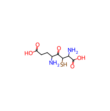 NC(CCC(=O)O)C(=O)C(S)C(N)C(=O)O